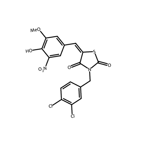 COc1cc(C=C2SC(=O)N(Cc3ccc(Cl)c(Cl)c3)C2=O)cc([N+](=O)[O-])c1O